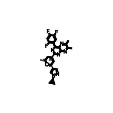 Cc1nc2nc([C@@H]3C[C@@H](C)O[C@@H](c4cnn(C5CC5)c4)C3)nc(-c3cc(F)c(F)cc3F)c2nc1C